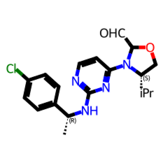 CC(C)[C@H]1COC(C=O)N1c1ccnc(N[C@H](C)c2ccc(Cl)cc2)n1